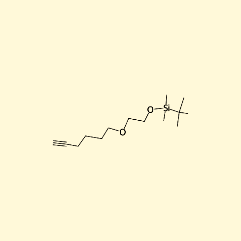 C#CCCCCOCCO[Si](C)(C)C(C)(C)C